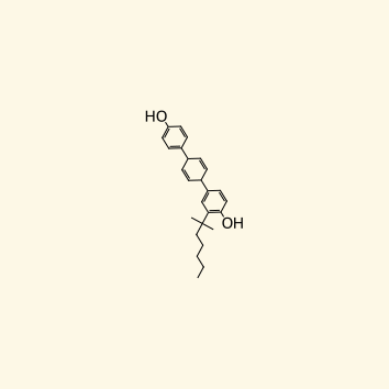 CCCCCC(C)(C)c1cc(C2C=CC(c3ccc(O)cc3)C=C2)ccc1O